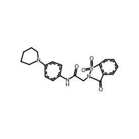 O=C(CN1C(=O)c2ccccc2S1(=O)=O)Nc1ccc(N2CCCCC2)cc1